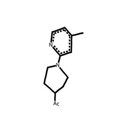 CC(=O)C1CCN(c2cc(C)ccn2)CC1